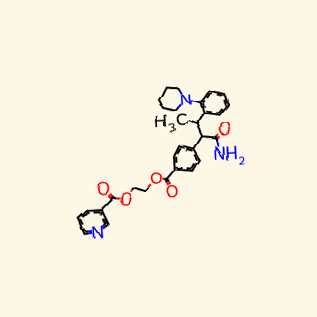 CC(c1ccccc1N1CCCCC1)C(C(N)=O)c1ccc(C(=O)OCCOC(=O)c2cccnc2)cc1